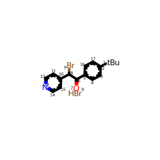 Br.CC(C)(C)c1ccc(C(=O)C(Br)c2ccncc2)cc1